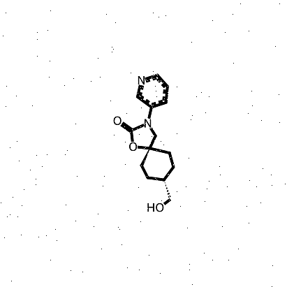 O=C1O[C@]2(CC[C@@H](CO)CC2)CN1c1cccnc1